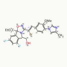 CCOC(=O)C1(c2cc(F)cc(F)c2)ON=C(/C(Br)=C/c2ccc(-n3cnc(C)c3)c(OC)c2)N1CCO